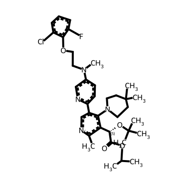 Cc1ncc(-c2ccc(N(C)CCOc3c(F)cccc3Cl)cn2)c(N2CCC(C)(C)CC2)c1[C@H](OC(C)(C)C)C(=O)OC(C)C